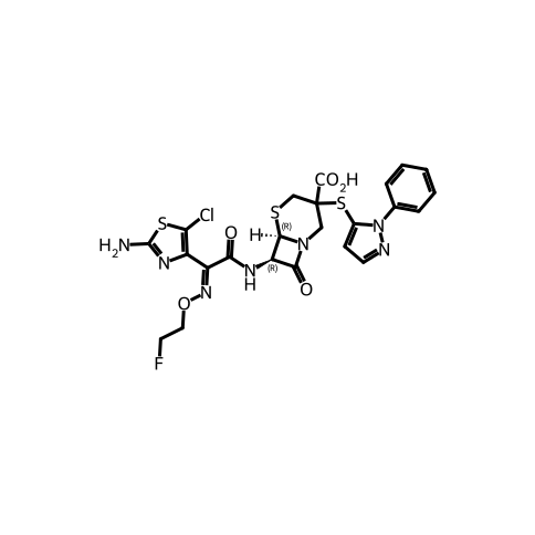 Nc1nc(C(=NOCCF)C(=O)N[C@@H]2C(=O)N3CC(Sc4ccnn4-c4ccccc4)(C(=O)O)CS[C@H]23)c(Cl)s1